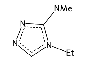 [CH2]Nc1nncn1CC